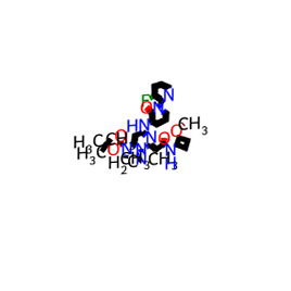 C=NN1C(N(C)C(=O)OC(C)(C)C)=CC(Nc2cccn(-c3ncccc3F)c2=O)=N/C1=C(/C)C(=O)N[C@@H]1CC[C@H]1OC